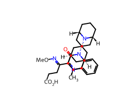 CO/N=C(\CCC(=O)O)c1nc2ccccc2n([C@H]2C[C@H]3CCC[C@@H](C2)N3[C@H]2C[C@@H]3C[C@H](C)C[C@@H](C3)C2)c1=O